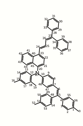 Cc1ccc(C(=Cc2ccc(N(c3ccc(C)cc3C)c3ccc(/C=C/C=C(c4ccccc4)c4ccccc4)c4ccccc34)cc2)c2ccc(C)cc2)cc1